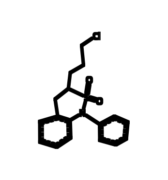 O=S1(=O)C(CCCCl)Cc2ccccc2N1c1ccccc1